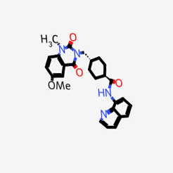 COc1ccc2c(c1)c(=O)n(C[C@H]1CC[C@H](C(=O)Nc3cccc4cccnc34)CC1)c(=O)n2C